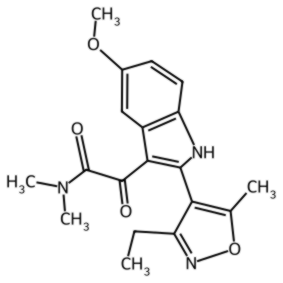 CCc1noc(C)c1-c1[nH]c2ccc(OC)cc2c1C(=O)C(=O)N(C)C